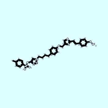 Cc1ccc(S(=O)(=O)Oc2cn(CCCCc3ccc(OCc4coc(C=Cc5ccc(OC(F)(F)F)cc5)n4)cc3)nn2)cc1